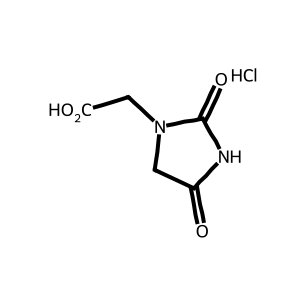 Cl.O=C(O)CN1CC(=O)NC1=O